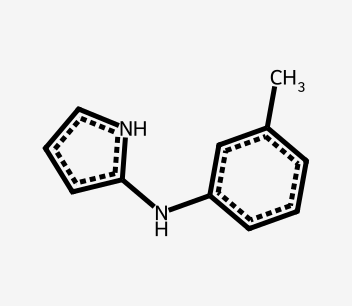 Cc1cccc(Nc2ccc[nH]2)c1